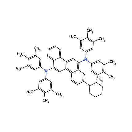 Cc1cc(N(c2cc(C)c(C)c(C)c2)c2cc3c4ccc(C5CCCCC5)cc4c(N(c4cc(C)c(C)c(C)c4)c4cc(C)c(C)c(C)c4)cc3c3ccccc23)cc(C)c1C